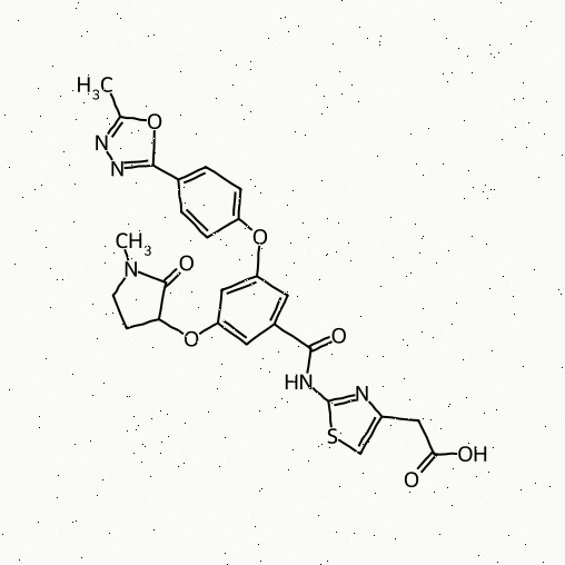 Cc1nnc(-c2ccc(Oc3cc(OC4CCN(C)C4=O)cc(C(=O)Nc4nc(CC(=O)O)cs4)c3)cc2)o1